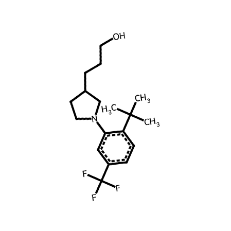 CC(C)(C)c1ccc(C(F)(F)F)cc1N1CCC(CCCO)C1